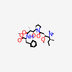 CC[C@H](C)[C@@H]([C@@H](CC(=O)N1CCC[C@H]1[C@H](OC)[C@@H](C)C(=O)N[C@@H](Cc1ccccc1)C(=O)OC)OC)N(C)C